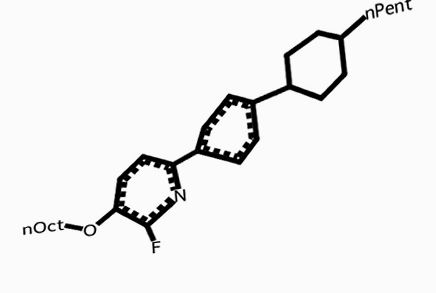 CCCCCCCCOc1ccc(-c2ccc(C3CCC(CCCCC)CC3)cc2)nc1F